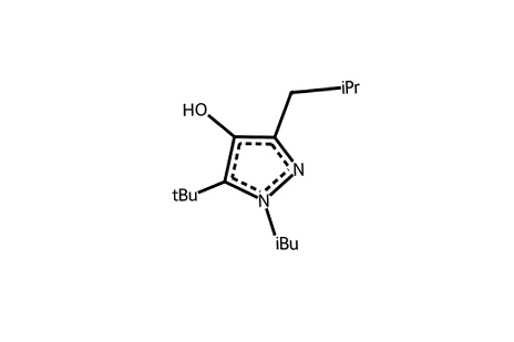 CCC(C)n1nc(CC(C)C)c(O)c1C(C)(C)C